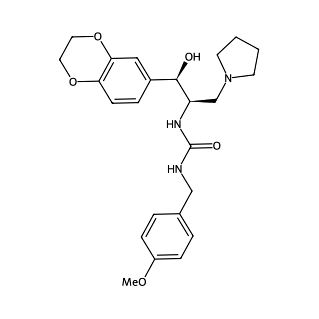 COc1ccc(CNC(=O)N[C@H](CN2CCCC2)[C@H](O)c2ccc3c(c2)OCCO3)cc1